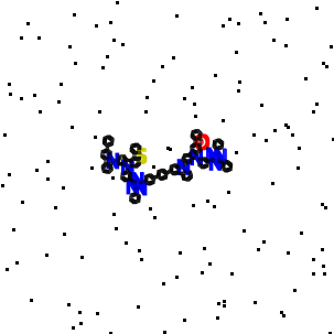 c1ccc(-c2ccc3c4ccccc4n(-c4ccc5c6c7c(ccc6n(-c6cccc(-c8nc(-c9ccccc9)nc(-c9ccc(-c%10ccc(-c%11ccc%12c(c%11)c%11ccccc%11n%12-c%11ccc%12c%13cc%14c(cc%13n(-c%13cccc(-c%15nc(-c%16ccccc%16)nc(-c%16ccccc%16)n%15)c%13)c%12c%11)oc%11ccccc%11%14)cc%10)cc9)n8)c6)c5c4)sc4ccccc47)c3c2)cc1